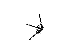 CCCCCCCCCCCCOC(=O)CCN(C)N(CCC(=O)OCCCCCCCCCCCC)CCC(=O)OCCCCCCCCCCCC